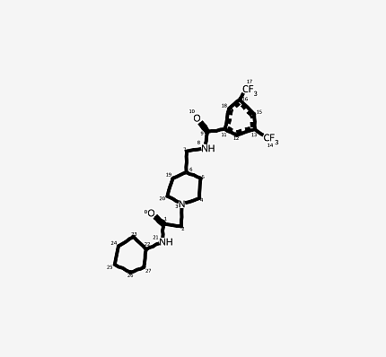 O=C(CN1CCC(CNC(=O)c2cc(C(F)(F)F)cc(C(F)(F)F)c2)CC1)NC1CCCCC1